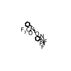 O=C(N(CCOc1cccc2c1ncn2C(F)(F)CF)Cc1ccccc1)C(F)(F)F